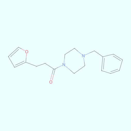 O=C(CCc1ccco1)N1CCN(Cc2ccccc2)CC1